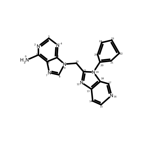 Nc1ncnc2c1ncn2Cc1nc2ccncc2n1-c1ccccc1